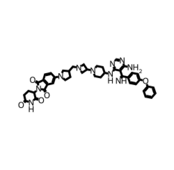 N=C(c1ccc(Oc2ccccc2)cc1)c1c(N)ncnc1NC1CCN(C2CN(CC3CCN(c4ccc5c(c4)C(=O)N(C4CCC(=O)NC4=O)C5=O)C3)C2)CC1